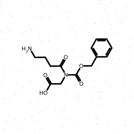 NCCCC(=O)N(CC(=O)O)C(=O)OCc1ccccc1